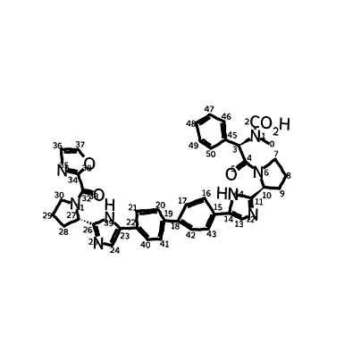 CN(C(=O)O)[C@@H](C(=O)N1CCC[C@H]1c1ncc(-c2ccc(-c3ccc(-c4cnc([C@@H]5CCCN5C(=O)c5ncco5)[nH]4)cc3)cc2)[nH]1)c1ccccc1